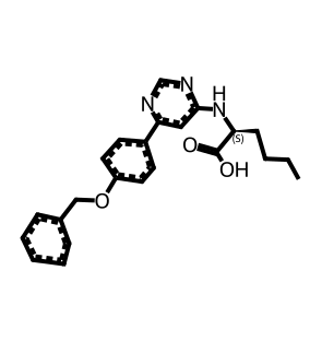 CCCC[C@H](Nc1cc(-c2ccc(OCc3ccccc3)cc2)ncn1)C(=O)O